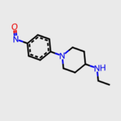 CCNC1CCN(c2ccc(N=O)cc2)CC1